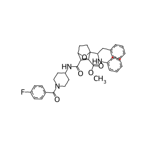 COC(=O)C1=C(C(=O)NC2CCN(C(=O)c3ccc(F)cc3)CC2)C2CCC1(C(Cc1ccccc1)Nc1ccccc1)O2